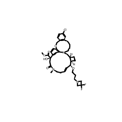 COC(=O)[C@@]1(O)CC(=O)N(C)CC/C=C/[C@H](OCCCN2CC(F)(F)C2)[C@@H]2CC[C@H]2CN2CCCCc3cc(Cl)ccc3COc3ccc1cc32